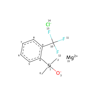 C[Si](C)([O-])c1ccccc1C(F)(F)F.[Cl-].[Mg+2]